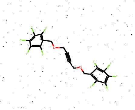 Fc1c(F)c(F)c(COCC#CCOCc2c(F)c(F)c(F)c(F)c2F)c(F)c1F